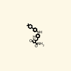 CC1(C)CCC(c2ccc(Nc3ccc(CC4NC(=O)CC4C(N)=O)cc3)cc2)CC1